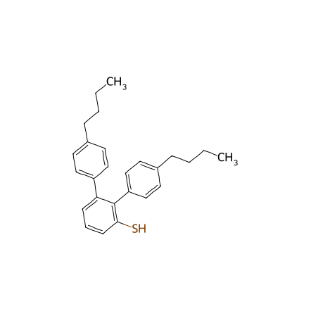 CCCCc1ccc(-c2cccc(S)c2-c2ccc(CCCC)cc2)cc1